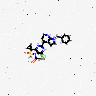 CC(C)(C)C(=O)N=S(=O)(C(C)(C)C)C1(c2cc(Cl)nc(-c3ccnc4c3ccn4Cc3ccccc3)n2)CC1